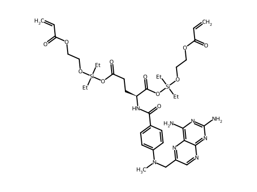 C=CC(=O)OCCO[Si](CC)(CC)OC(=O)CC[C@H](NC(=O)c1ccc(N(C)Cc2cnc3nc(N)nc(N)c3n2)cc1)C(=O)O[Si](CC)(CC)OCCOC(=O)C=C